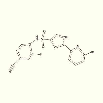 N#Cc1ccc(NS(=O)(=O)c2c[nH]c(-c3cccc(Br)n3)c2)c(F)c1